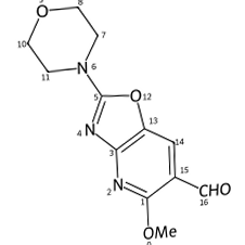 COc1nc2nc(N3CCOCC3)oc2cc1C=O